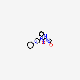 O=C1CCN(c2nc3ccccc3n(C3CCN(C4CCCCCCC4)CC3)c2=O)N1